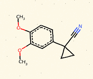 COc1ccc(C2(C#N)CC2)cc1OC